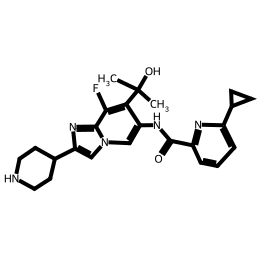 CC(C)(O)c1c(NC(=O)c2cccc(C3CC3)n2)cn2cc(C3CCNCC3)nc2c1F